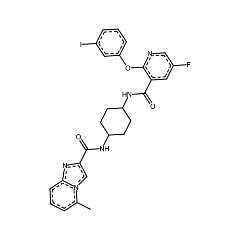 Cc1cccc2nc(C(=O)NC3CCC(NC(=O)c4cc(F)cnc4Oc4cccc(I)c4)CC3)cn12